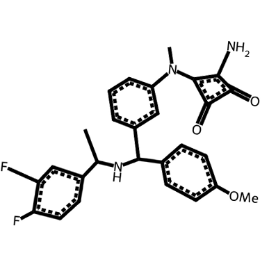 COc1ccc(C(NC(C)c2ccc(F)c(F)c2)c2cccc(N(C)c3c(N)c(=O)c3=O)c2)cc1